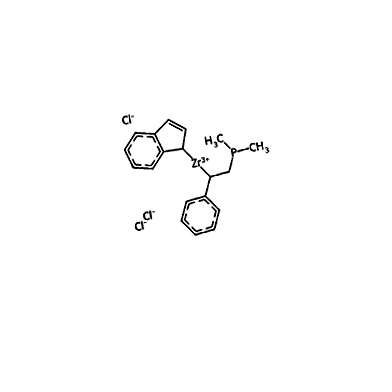 CP(C)C[CH]([Zr+3][CH]1C=Cc2ccccc21)c1ccccc1.[Cl-].[Cl-].[Cl-]